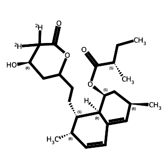 [2H]C1([2H])C(=O)OC(CC[C@@H]2[C@@H]3C(=C[C@H](C)C[C@@H]3OC(=O)[C@@H](C)CC)C=C[C@@H]2C)C[C@H]1O